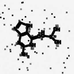 Nc1nc2nc[nH]c2c(=O)[nH]1.OB(O)O